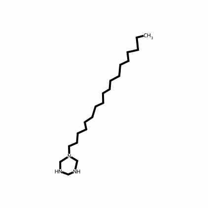 CCCCCCCCCCCCCCCCCCN1CNCNC1